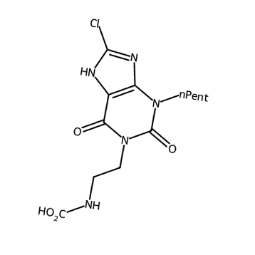 CCCCCn1c(=O)n(CCNC(=O)O)c(=O)c2[nH]c(Cl)nc21